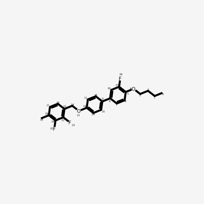 CCCCOc1ccc(-c2ccc(OCc3ccc(C)c(F)c3F)cc2)cc1F